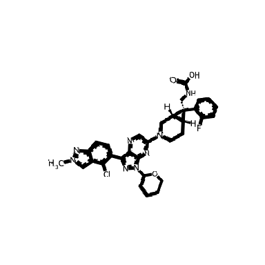 Cn1cc2c(Cl)c(-c3nn(C4CCCCO4)c4nc(N5CC[C@@H]6[C@H](C5)[C@@]6(CNC(=O)O)c5ccccc5F)cnc34)ccc2n1